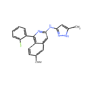 COc1ccc2c(-c3ccccc3F)nc(Nc3cc(C)[nH]n3)cc2c1